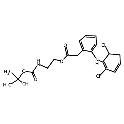 CC(C)(C)OC(=O)NCCOC(=O)Cc1ccccc1NC1=C(Cl)C=CCC1Cl